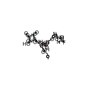 Cc1ccc(CCCC(=O)NCCCCC[C@H](CNC(=O)CN2CCN(COC=O)CCN(COC=O)CCN(CC(=O)O)CC2)SC2CC(=O)N(CC(=O)N3CCN(CCCOc4ccc5nccc(C(=O)NCC(=O)N6CC(C)(F)C[C@@H]6C#N)c5c4)CC3)C2=O)cc1